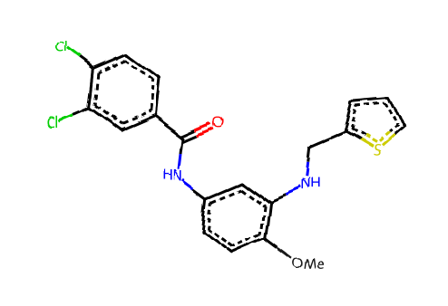 COc1ccc(NC(=O)c2ccc(Cl)c(Cl)c2)cc1NCc1cccs1